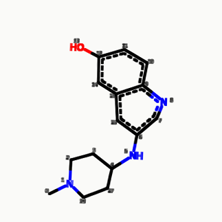 CN1CCC(Nc2cnc3ccc(O)cc3c2)CC1